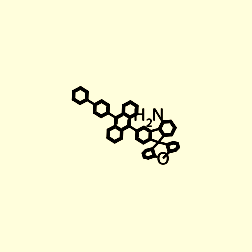 Nc1cccc2c1-c1cc(-c3c4ccccc4c(-c4ccc(-c5ccccc5)cc4)c4ccccc34)ccc1C21c2ccccc2Oc2ccccc21